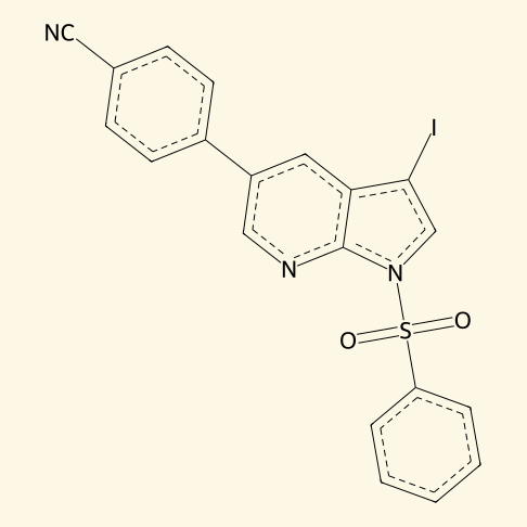 N#Cc1ccc(-c2cnc3c(c2)c(I)cn3S(=O)(=O)c2ccccc2)cc1